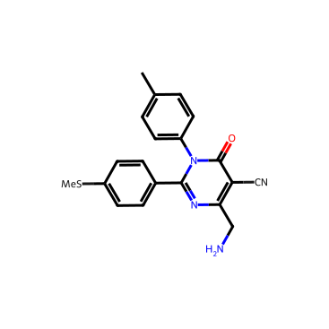 CSc1ccc(-c2nc(CN)c(C#N)c(=O)n2-c2ccc(C)cc2)cc1